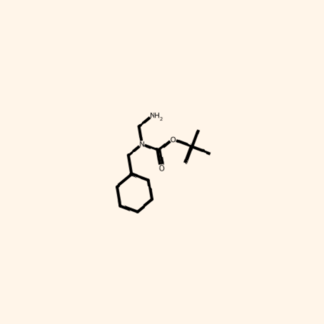 CC(C)(C)OC(=O)N(CN)CC1CCCCC1